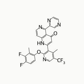 Cc1c(Oc2ncc(C(F)(F)F)c(C)c2-c2cc(=O)c3c(-c4cnccn4)nccc3[nH]2)ccc(F)c1F